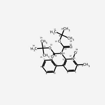 Cc1ccc(-c2ccccc2)c(N(C(=O)OC(C)(C)C)C(=O)OC(C)(C)C)[n+]1[O-]